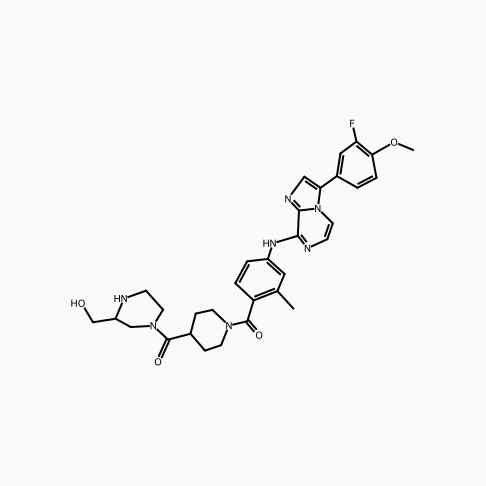 COc1ccc(-c2cnc3c(Nc4ccc(C(=O)N5CCC(C(=O)N6CCNC(CO)C6)CC5)c(C)c4)nccn23)cc1F